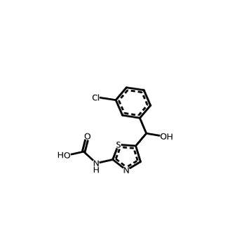 O=C(O)Nc1ncc(C(O)c2cccc(Cl)c2)s1